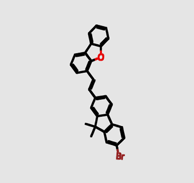 CC1(C)c2cc(Br)ccc2-c2ccc(/C=C/c3cccc4c3oc3ccccc34)cc21